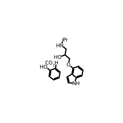 CC(C)NCC(O)COc1cccc2[nH]ccc12.O=C(O)c1ccccc1O